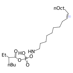 CCCCCCCC/C=C\CCCCCCCCNOP(=O)(O)OC(=O)C(CC)CCCC